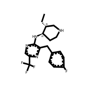 CC[C@@H]1CNCC[C@H]1Nc1ncc(C(F)(F)F)nc1Cc1ccc(F)cc1